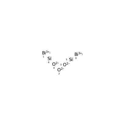 [Bi+3].[Bi+3].[O-2].[O-2].[O-2].[Si].[Si]